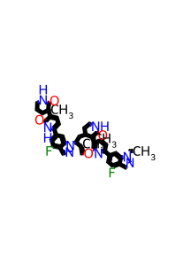 CCn1ncc2c(F)cc(-c3ccc4c(n3)O/C=C(\C)C(n3ncc5c(F)cc(-c6ccc([C@@]7(C)CCCNC7=O)c(=O)[nH]6)cc53)CC3CCNC(=O)[C@@]43C)cc21